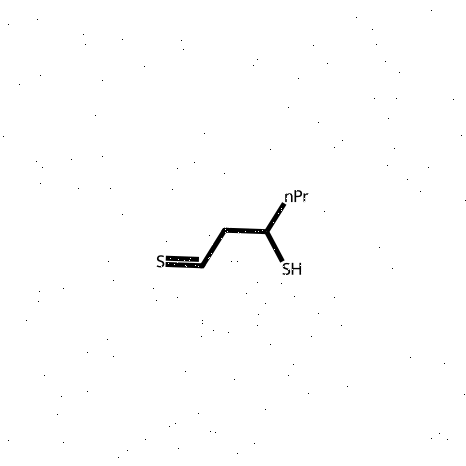 CCCC(S)CC=S